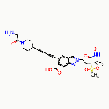 CC(CCn1cc2cc(C#CC#CC3CCN(C(=O)CN)CC3)ccc2n1)(C(=O)NO)S(C)(=O)=O.O=CO